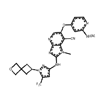 CC(=O)Nc1cc(Oc2cnc3nc(Nc4cc(C(F)(F)F)n(C5CC6(COC6)C5)n4)n(C)c3c2C#N)ccn1